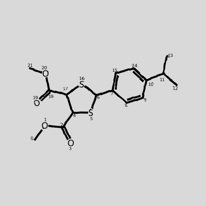 COC(=O)C1SC(c2ccc(C(C)C)cc2)SC1C(=O)OC